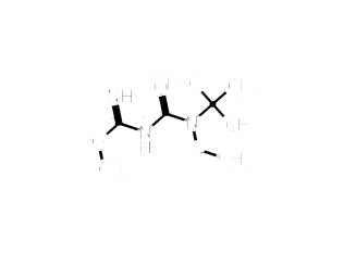 COC(=N)NC(=O)N(SC)C(C)(C)C